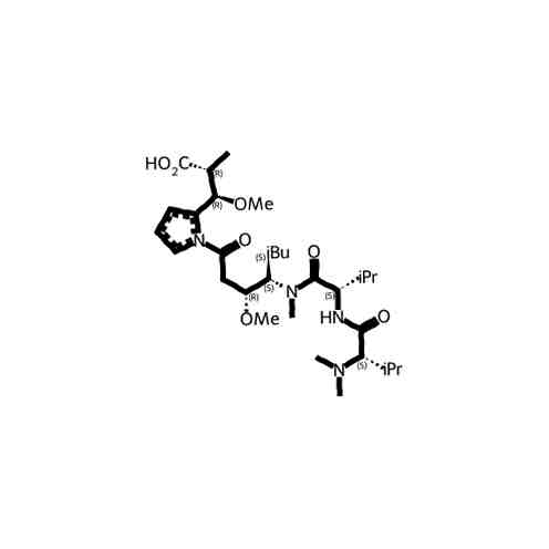 CC[C@H](C)[C@@H]([C@@H](CC(=O)n1cccc1[C@H](OC)[C@@H](C)C(=O)O)OC)N(C)C(=O)[C@@H](NC(=O)[C@H](C(C)C)N(C)C)C(C)C